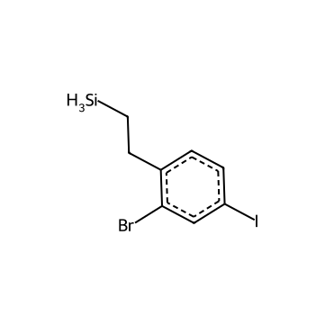 [SiH3]CCc1ccc(I)cc1Br